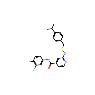 CC(C)c1ccc(CSNc2cc(C(=O)Nc3ccc(F)c(Cl)c3)ccn2)cc1